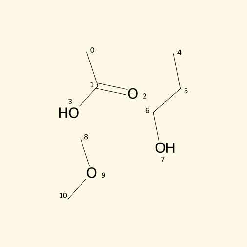 CC(=O)O.CCCO.COC